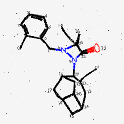 Cc1ccccc1CN1N(C2C(C)CC3CC4CC2CC34)C(=O)C1(C)C